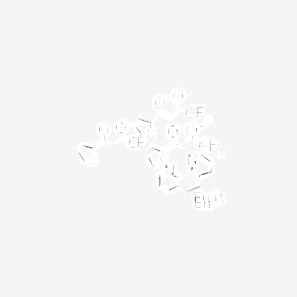 [Eu+3].[Eu+3].[O-]C(CC([O-])C(F)(F)F)c1cccs1.[O-]C(CC([O-])C(F)(F)F)c1cccs1.[O-]C(CC([O-])C(F)(F)F)c1cccs1.c1cnc2c(c1)ccc1cccnc12